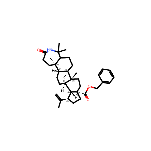 C=C(C)[C@@H]1CC[C@]2(C(=O)OCc3ccccc3)CC[C@]3(C)[C@H](CC[C@@H]4[C@@]5(C)CCC(=O)NC(C)(C)C5CC[C@]43C)[C@@H]12